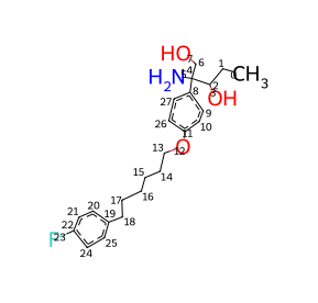 CCC(O)C(N)(CO)c1ccc(OCCCCCCc2ccc(F)cc2)cc1